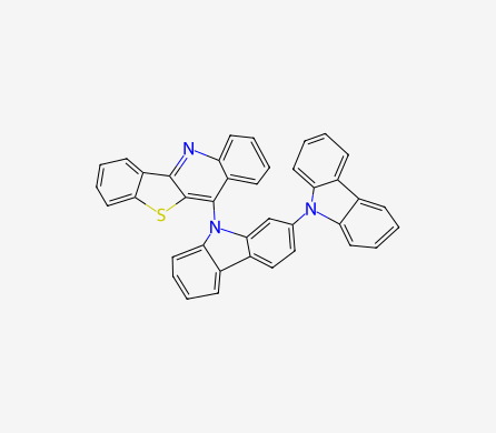 c1ccc2c(-n3c4ccccc4c4ccc(-n5c6ccccc6c6ccccc65)cc43)c3sc4ccccc4c3nc2c1